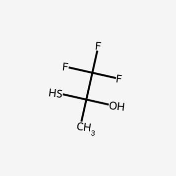 CC(O)(S)C(F)(F)F